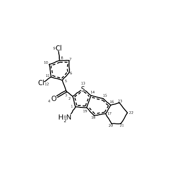 Nc1c(C(=O)c2ccc(Cl)cc2Cl)sc2cc3c(cc12)CCCC3